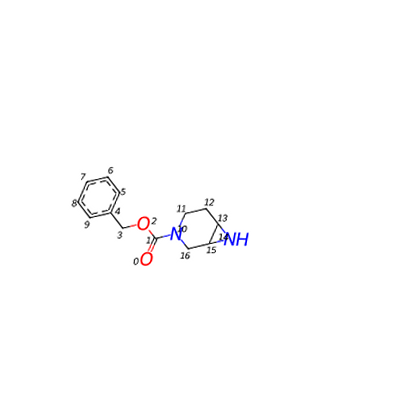 O=C(OCc1ccccc1)N1CCC2NC2C1